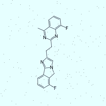 Cc1nc(CCc2cn3c(n2)-c2cccc(F)c2C3)nc2c(F)cccc12